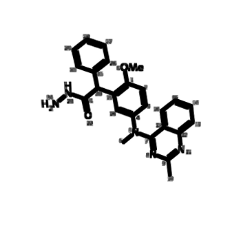 COc1ccc(N(C)c2nc(C)nc3ccccc23)cc1C(C(=O)NN)c1ccccc1